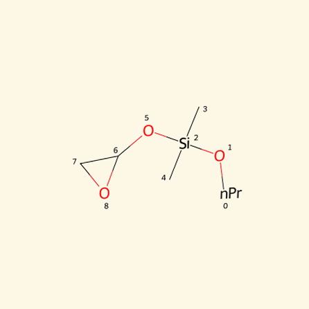 CCCO[Si](C)(C)OC1CO1